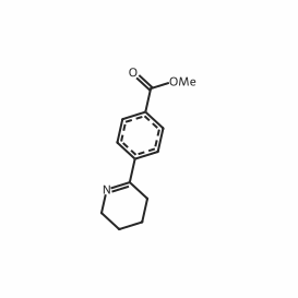 COC(=O)c1ccc(C2=NCCCC2)cc1